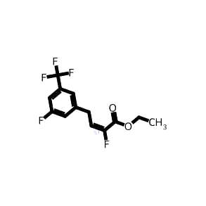 CCOC(=O)/C(F)=C\Cc1cc(F)cc(C(F)(F)F)c1